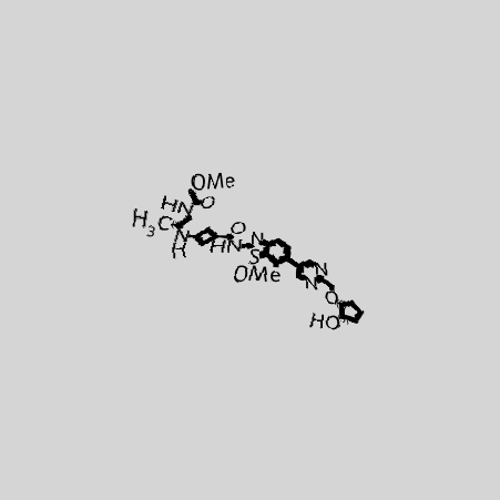 COCC(=O)NC[C@H](C)N[C@H]1C[C@@H](C(=O)Nc2nc3ccc(-c4cnc(CO[C@H]5CCC[C@@H]5O)nc4)c(OC)c3s2)C1